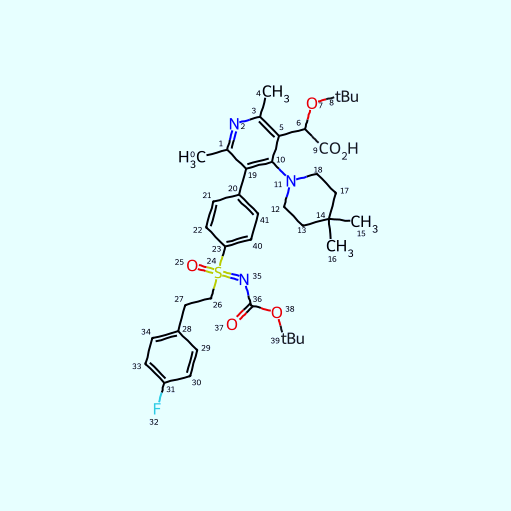 Cc1nc(C)c(C(OC(C)(C)C)C(=O)O)c(N2CCC(C)(C)CC2)c1-c1ccc(S(=O)(CCc2ccc(F)cc2)=NC(=O)OC(C)(C)C)cc1